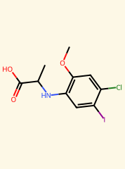 COc1cc(Cl)c(I)cc1NC(C)C(=O)O